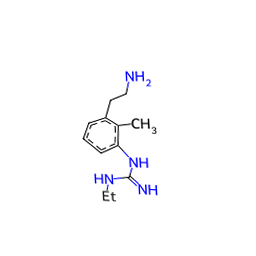 CCNC(=N)Nc1cccc(CCN)c1C